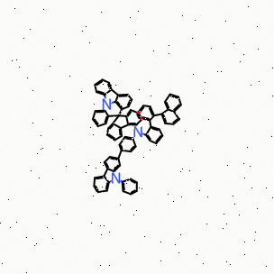 c1ccc(-n2c3ccccc3c3ccc(-c4ccc(N(c5ccccc5-c5ccccc5-c5cccc6ccccc56)c5cccc6c5-c5ccccc5C65c6ccccc6-n6c7ccccc7c7cccc5c76)cc4)cc32)cc1